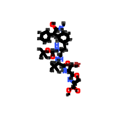 COC(=O)c1coc(-c2nc([C@@H](NC[C@H](Cc3ccc4c(c3)C(c3ccccc3)C(=O)N4C)NC(=O)OC(C)(C)C)C(C)(C)C)oc2Br)n1